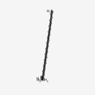 COCCOCCOCCOCCOCCOCCOCCOCCOCCOCCOCCOCCOCCOCCOCCOCCOCCOCCOCCOCCOCCOCCOCCC(=O)OC(C)(C)C